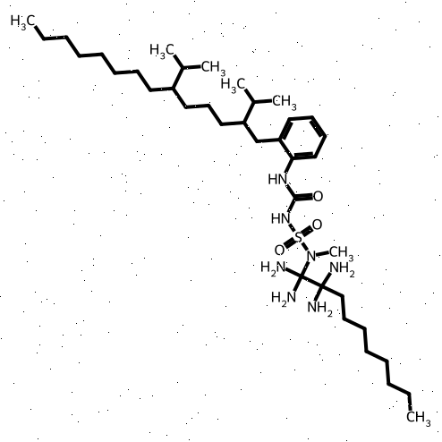 CCCCCCCCC(CCCC(Cc1ccccc1NC(=O)NS(=O)(=O)N(C)C(N)(N)C(N)(N)CCCCCCCC)C(C)C)C(C)C